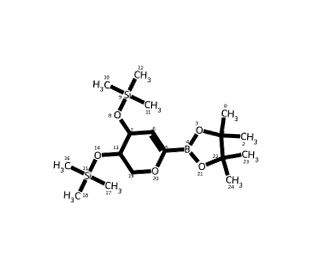 CC1(C)OB(C2=CC(O[Si](C)(C)C)C(O[Si](C)(C)C)CO2)OC1(C)C